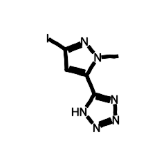 Cn1nc(I)cc1-c1nnn[nH]1